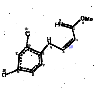 COC(=N)/C=C\Nc1ccc(Cl)cc1Cl